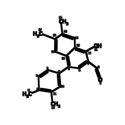 Cc1ccc(-c2cc(C=O)c(O)c3cc(C)c(C)cc23)cc1C